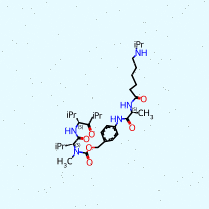 CC(C)NCCCCCC(=O)N[C@@H](C)C(=O)Nc1ccc(COC(=O)N(C)[C@H](C(=O)N[C@H](C(=O)C(C)C)C(C)C)C(C)C)cc1